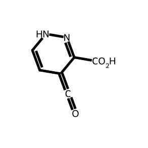 O=C=C1C=CNN=C1C(=O)O